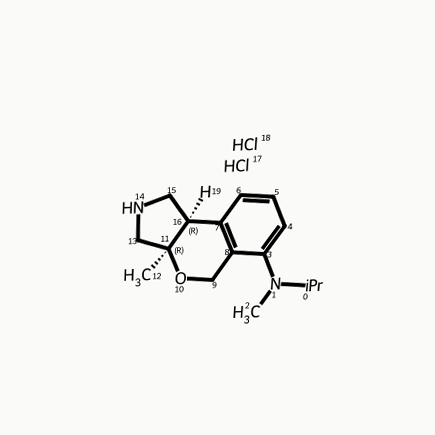 CC(C)N(C)c1cccc2c1CO[C@@]1(C)CNC[C@@H]21.Cl.Cl